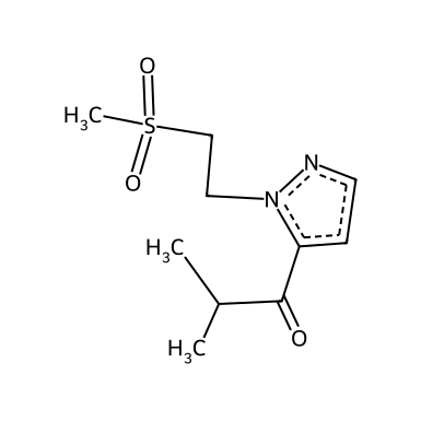 CC(C)C(=O)c1ccnn1CCS(C)(=O)=O